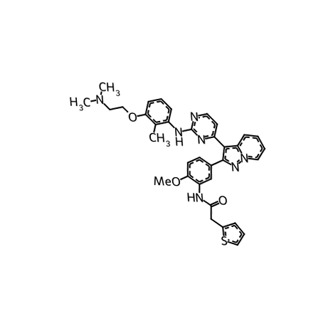 COc1ccc(-c2nn3ccccc3c2-c2ccnc(Nc3cccc(OCCN(C)C)c3C)n2)cc1NC(=O)Cc1cccs1